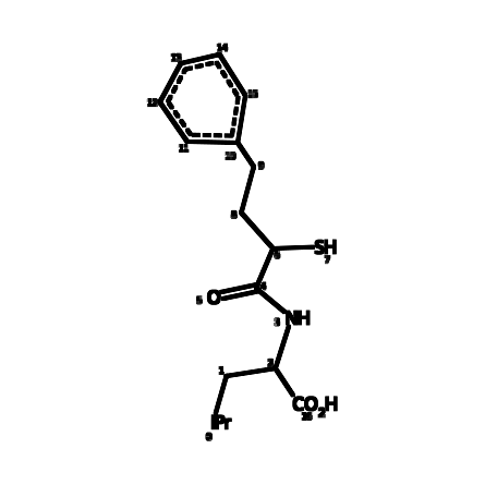 CC(C)CC(NC(=O)C(S)CCc1ccccc1)C(=O)O